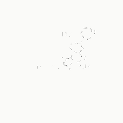 Cc1ccncc1-c1ccc2c(c1)nc(N)c1nc(CCCO)[nH]c12